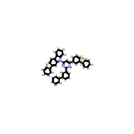 c1ccc(-c2cccc(-c3nc(-c4ccc5sc6ccccc6c5c4)cc(-n4c5ccccc5c5cc6sc7ccccc7c6cc54)n3)c2)cc1